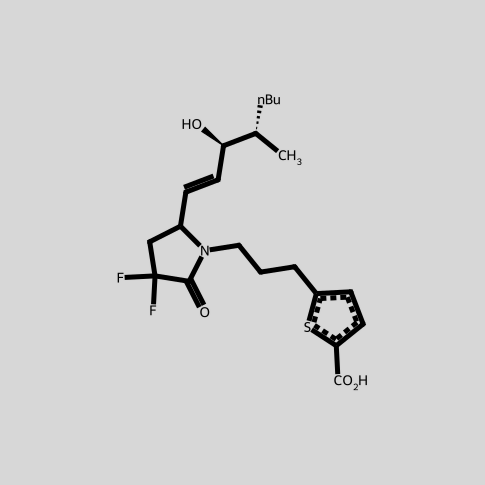 CCCC[C@H](C)[C@H](O)/C=C/C1CC(F)(F)C(=O)N1CCCc1ccc(C(=O)O)s1